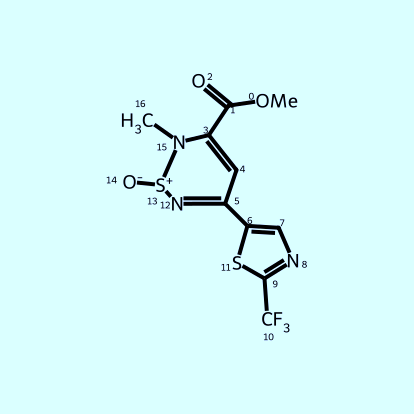 COC(=O)C1=CC(c2cnc(C(F)(F)F)s2)=N[S+]([O-])N1C